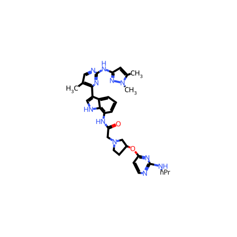 CCCNc1nccc(OC2CCN(CC(=O)Nc3cccc4c(-c5nc(Nc6cc(C)n(C)n6)ncc5C)c[nH]c34)C2)n1